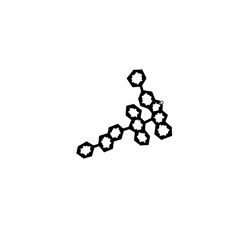 c1ccc(-c2ccc3cc(-c4c5ccccc5c(-c5c6ccccc6cc6oc7cc(-c8ccccc8)ccc7c56)c5ccccc45)ccc3c2)cc1